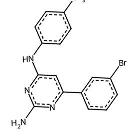 Nc1nc(Nc2ccc(C(F)(F)F)cc2)cc(-c2cccc(Br)c2)n1